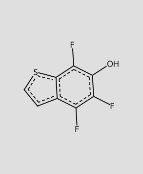 Oc1c(F)c(F)c2ccsc2c1F